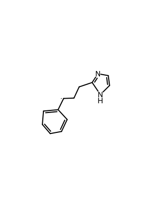 [CH](CCc1ncc[nH]1)c1ccccc1